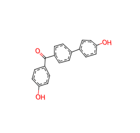 O=C(c1ccc(O)cc1)c1ccc(-c2ccc(O)cc2)cc1